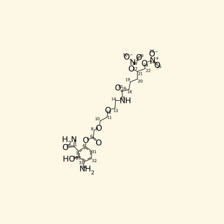 NC(=O)c1c(OC(=O)COCCOCCNC(=O)CCCC(CO[N+](=O)[O-])O[N+](=O)[O-])ccc(N)c1O